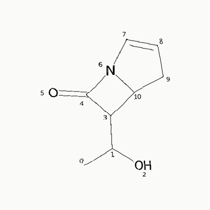 CC(O)C1C(=O)N2C=CCC12